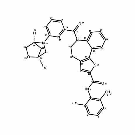 Cc1cccc(F)c1NC(=O)c1cc2c(s1)-c1ccccc1N(C(=O)c1cccc(N3C[C@@H]4C[C@H]3CO4)n1)CC2